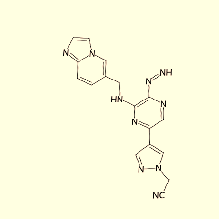 N#CCn1cc(-c2cnc(N=N)c(NCc3ccc4nccn4c3)n2)cn1